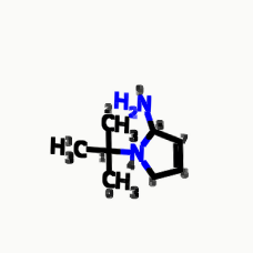 CC(C)(C)N1CC=CC1N